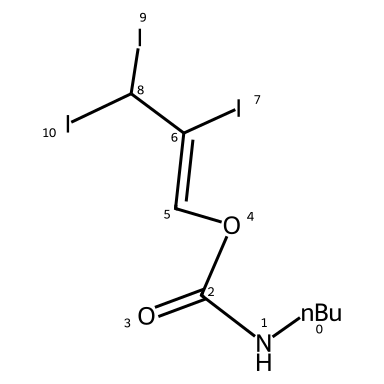 CCCCNC(=O)OC=C(I)C(I)I